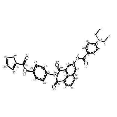 CCN(CC)c1ccc(C(=O)Oc2cc3c4c(cccc4c2)C(=O)N(c2ccc(OC(=O)C4=CC=CC4)cc2)C3=O)cc1